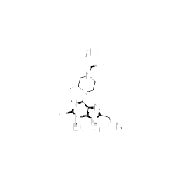 CCn1c(CC#N)nc2c(N3C[C@@H](C)N(C(=O)OC(C)(C)C)C[C@@H]3C)nc(=O)n(CC)c21